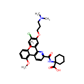 COc1cccc(OC)c1-c1ccc(C(=O)NC2(C(=O)O)CCCCC2)nc1-c1ccc(Cl)c(OCCCN(C)C)c1